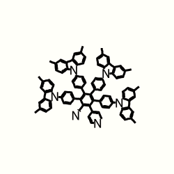 Cc1ccc2c(c1)c1cc(C)ccc1n2-c1ccc(-c2c(C#N)c(-c3ccncc3)c(-c3ccc(-n4c5ccc(C)cc5c5cc(C)ccc54)cc3)c(-c3ccc(-n4c5ccc(C)cc5c5cc(C)ccc54)cc3)c2-c2ccc(-n3c4ccc(C)cc4c4cc(C)ccc43)cc2)cc1